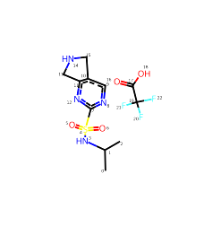 CC(C)NS(=O)(=O)c1ncc2c(n1)CNC2.O=C(O)C(F)(F)F